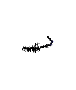 CCCCC/C=C\C/C=C\CCCCCCCCNC(=O)Nc1cnnc2c1ncn2CCOCP(=O)(O)O